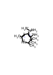 BN(N)C1=C(\N)C(C)(C)C(C)NC/C(C)=C\1